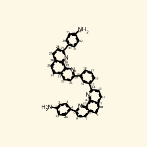 Nc1ccc(-c2ccc3ccc4ccc(-c5cccc(-c6ccc7ccc8ccc(-c9ccc(N)cc9)nc8c7n6)c5)nc4c3n2)cc1